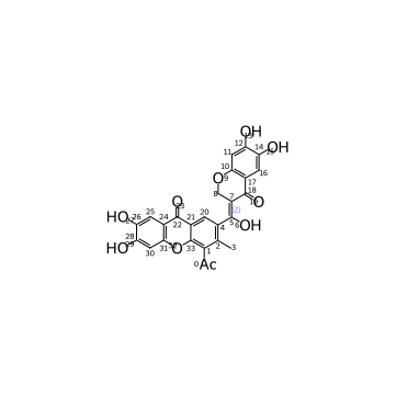 CC(=O)c1c(C)c(/C(O)=C2\COc3cc(O)c(O)cc3C2=O)cc2c(=O)c3cc(O)c(O)cc3oc12